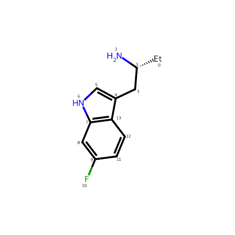 CC[C@@H](N)Cc1c[nH]c2cc(F)ccc12